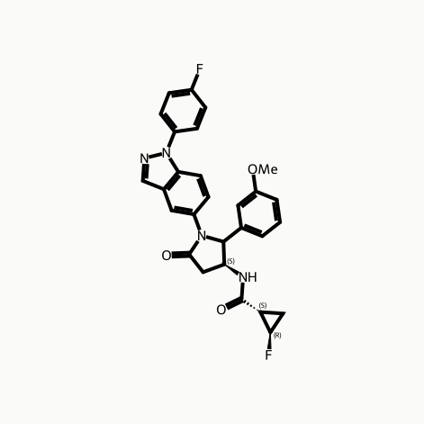 COc1cccc(C2[C@@H](NC(=O)[C@@H]3C[C@H]3F)CC(=O)N2c2ccc3c(cnn3-c3ccc(F)cc3)c2)c1